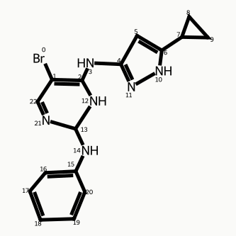 BrC1=C(Nc2cc(C3CC3)[nH]n2)NC(Nc2ccccc2)N=C1